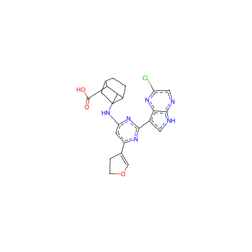 O=C(O)C1C2CCC(CC2)C1Nc1cc(C2=COCC2)nc(-c2c[nH]c3ncc(Cl)nc23)n1